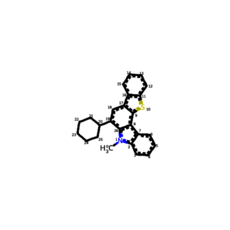 Cn1c2ccccc2c2c3sc4ccccc4c3cc(C3CCCCC3)c21